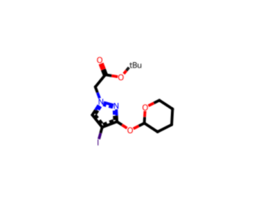 CC(C)(C)OC(=O)Cn1cc(I)c(OC2CCCCO2)n1